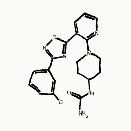 NC(=O)NC1CCN(c2ncccc2-c2nc(-c3cccc(Cl)c3)no2)CC1